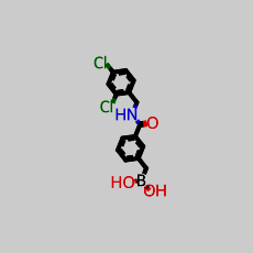 O=C(NCc1ccc(Cl)cc1Cl)c1cccc(CB(O)O)c1